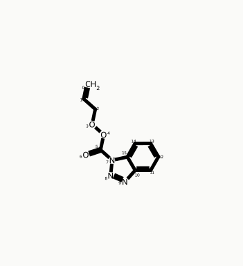 C=CCOOC(=O)n1nnc2ccccc21